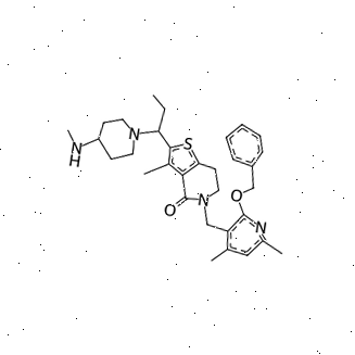 CCC(c1sc2c(c1C)C(=O)N(Cc1c(C)cc(C)nc1OCc1ccccc1)CC2)N1CCC(NC)CC1